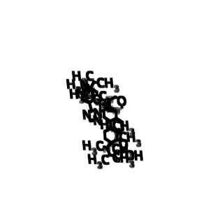 CC(C)[C@@H](C)[C@@]1(C)CC[C@]2(C)[C@H]3CC[C@@H]4[C@@]5(COC[C@@]4(C)[C@@H](OC[C@](C)(N)C(C)C)[C@H](n4ncnc4-c4ccnnc4)C5)C3=CC[C@]2(C)[C@@H]1OC(=O)O